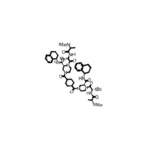 CN[C@@H](C)C(=O)N[C@H](C(=O)N1CCN(C(=O)C2CCC(C(=O)N3CCN(C(=O)[C@@H](NC(=O)[C@H](C)NC)C(C)(C)C)[C@H](C(=O)N[C@@H]4CCCc5ccccc54)C3)CC2)C[C@H]1C(=O)N[C@@H]1CCCc2ccccc21)C(C)(C)C